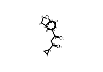 O=C(CC(=O)C1CC1)c1ccc2c(c1)CCO2